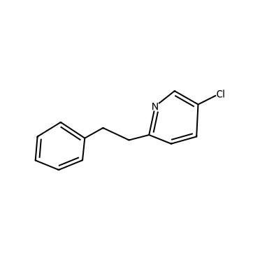 Clc1ccc(CCc2ccccc2)nc1